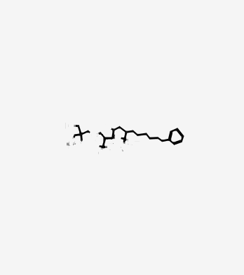 CC(CC(CCCCCCc1ccccc1)C(C)(C)C)CC(COCC(CO)(CO)CO)C(C)(C)C